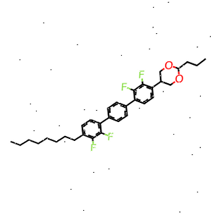 CCCCCCCCc1ccc(-c2ccc(-c3ccc(C4COC(CCC)OC4)c(F)c3F)cc2)c(F)c1F